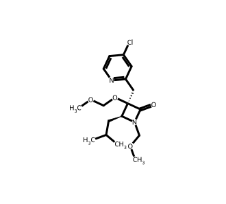 COCO[C@@]1(Cc2cc(Cl)ccn2)C(=O)N(COC)[C@H]1CC(C)C